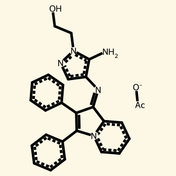 CC(=O)[O-].Nc1c(/N=C2\C(c3ccccc3)=C(c3ccccc3)[n+]3ccccc32)cnn1CCO